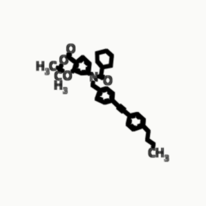 CCCCc1ccc(C#Cc2ccc(CN(C(=O)C3CCCCC3)c3ccc4c(c3)OC(C)(C)OC4=O)cc2)cc1